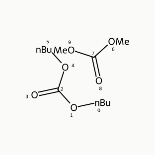 CCCCOC(=O)OCCCC.COC(=O)OC